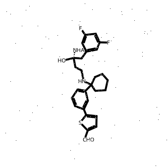 CC(=O)N[C@@](O)(CCNC1(c2cccc(-c3ccc(C=O)s3)c2)CCCCC1)Cc1cc(F)cc(F)c1